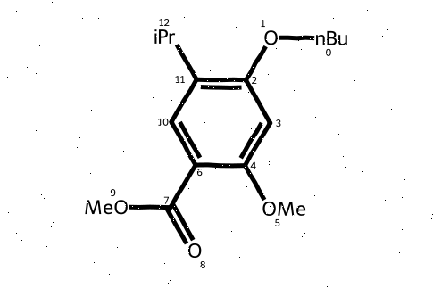 CCCCOc1cc(OC)c(C(=O)OC)cc1C(C)C